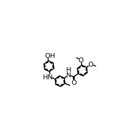 COc1ccc(C(=O)Nc2cc(Nc3ccc(O)cc3)ccc2C)cc1OC